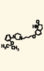 CC(C)Oc1ccccc1N1CCCN(CCCCOc2ccc3c(c2)NC(=O)CC3)CC1